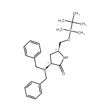 CC(C)(C)[Si](C)(C)OC[C@@H]1C[C@H](N(Cc2ccccc2)Cc2ccccc2)C(=O)N1